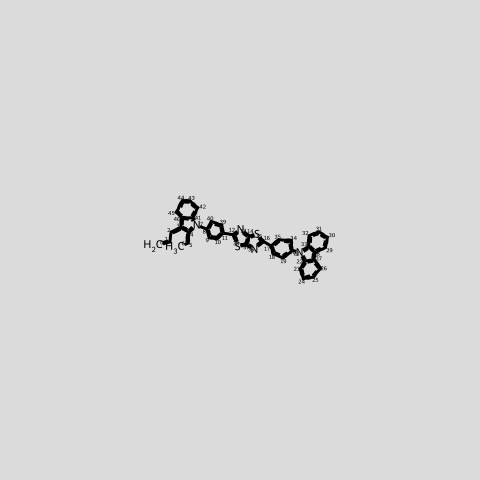 C=C/C=c1\c(=C/C)n(-c2ccc(-c3nc4sc(-c5ccc(-n6c7ccccc7c7ccccc76)cc5)nc4s3)cc2)c2ccccc12